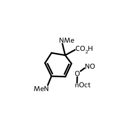 CCCCCCCCON=O.CNC1=CCC(NC)(C(=O)O)C=C1